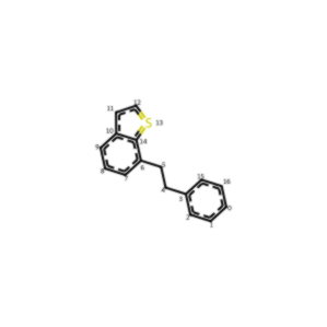 c1ccc(CCc2cccc3ccsc23)cc1